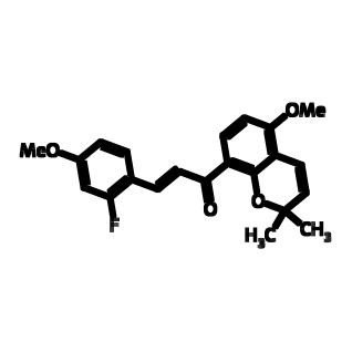 COc1ccc(/C=C/C(=O)c2ccc(OC)c3c2OC(C)(C)C=C3)c(F)c1